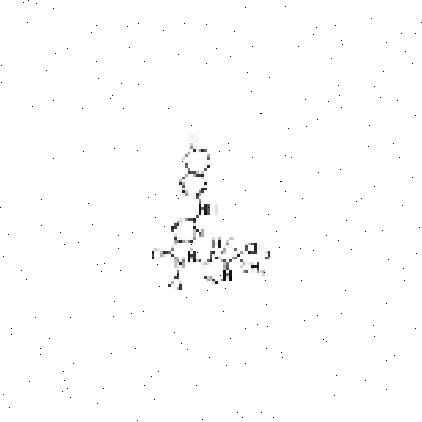 CC(C)(C)c1nccc(-n2c3nc(Nc4ccc5c(c4)CCNC5)ccc3c(=O)n2C2CC2)n1